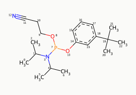 CC(C)N(C(C)C)P(OCCC#N)Oc1cccc(C(C)(C)C)c1